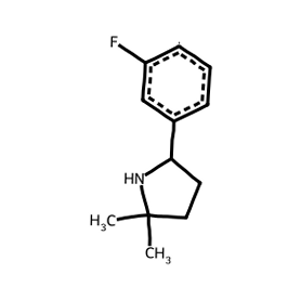 CC1(C)CCC(c2cc[c]c(F)c2)N1